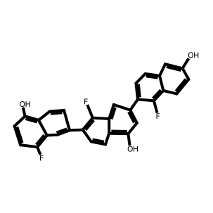 Oc1ccc2c(F)c(-c3cc(O)c4ccc(-c5ccc6c(O)ccc(F)c6c5)c(F)c4c3)ccc2c1